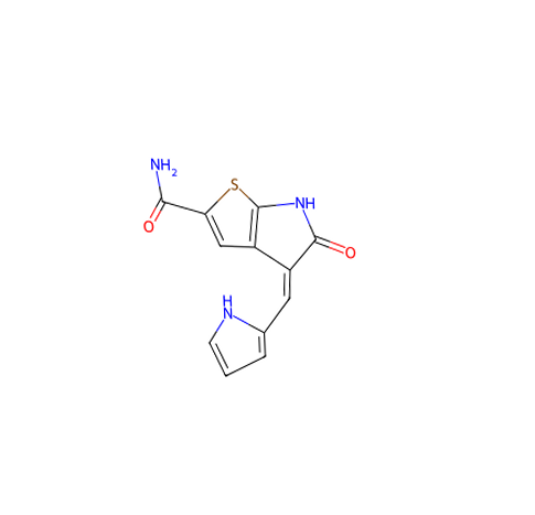 NC(=O)c1cc2c(s1)NC(=O)C2=Cc1ccc[nH]1